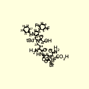 CC(C)(C)[C@H](c1cc(-c2cc(F)ccc2F)cn1Cc1ccccc1)N(CC[C@H](N)C(=O)N[C@H](CN(C(=O)CBr)[C@@H](CC(=O)O)C(N)=O)C(=O)O)C(=O)CO